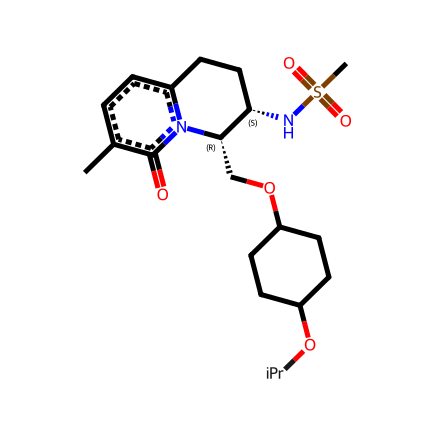 Cc1ccc2n(c1=O)[C@@H](COC1CCC(OC(C)C)CC1)[C@@H](NS(C)(=O)=O)CC2